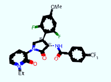 CCn1cccc(N2C[C@@H](c3c(F)cc(OC)cc3F)[C@H](NC(=O)c3ccc(C(F)(F)F)cc3)C2=O)c1=O